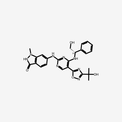 Cn1[nH]c(=O)c2ccc(Nc3ncc(-c4nc(C(C)(C)O)no4)c(N[C@H](CO)c4ccccc4)n3)cc21